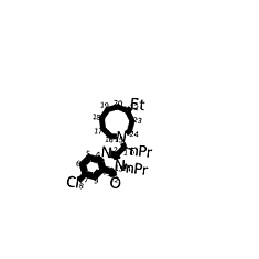 CCC[C@H](c1nc2ccc(Cl)cc2c(=O)n1CCC)N1CCCCCC(CC)CC1